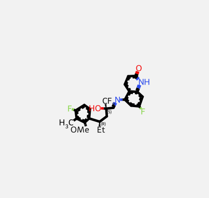 CC[C@H](C[C@](O)(C=Nc1cc(F)cc2[nH]c(=O)ccc12)C(F)(F)F)c1ccc(F)c(C)c1OC